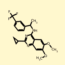 COc1cc2nc(C3CC3)nc(NC(C)c3cccc(C(F)(F)F)c3)c2cc1OC